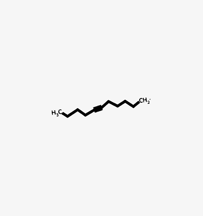 [CH2]CCCCC#CCCCC